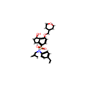 CCc1ccc(N(CC(C)C)S(=O)(=O)c2ccc(OCC3CCOCC3)c3c2CCC3O)cc1